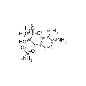 Cc1c(N)ccc2c1OC(C)(C)C(O)[C@H]2OC(N)=O